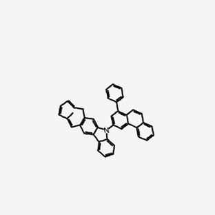 CC1=C\c2cc3c4ccccc4n(-c4cc(-c5ccccc5)c5ccc6ccccc6c5c4)c3cc2C/C=C/C=C\1